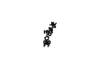 Cc1nc(C)c(-c2csc(NC(=O)Cc3ccc(S(=O)(=O)C(F)F)cc3)n2)s1